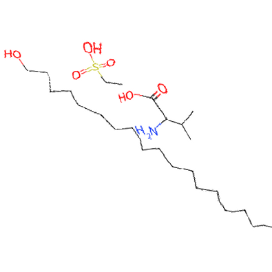 CC(C)C(N)C(=O)O.CCCCCCCCCCCCCCCCCCO.CCS(=O)(=O)O